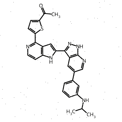 CC(=O)c1ccc(-c2nccc3[nH]c(-c4n[nH]c5ncc(-c6cccc(NC(C)C)c6)cc45)cc23)s1